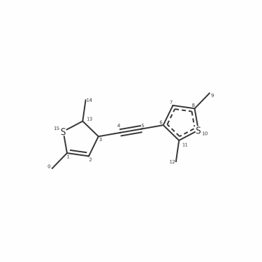 CC1=CC(C#Cc2cc(C)sc2C)C(C)S1